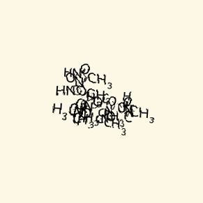 Cc1cn([C@H]2CNC[C@@H](COP(=O)(N(C)C)N3C[C@@H](COP(=O)(N(C)C)N4C[C@@H](CO[PH](=O)N(C)C)O[C@@H](C)C4)O[C@@H](C)C3)O2)c(=O)[nH]c1=O